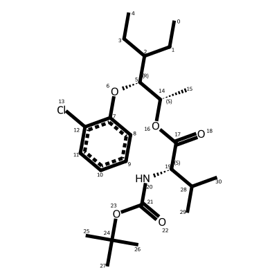 CCC(CC)[C@@H](Oc1ccccc1Cl)[C@H](C)OC(=O)[C@@H](NC(=O)OC(C)(C)C)C(C)C